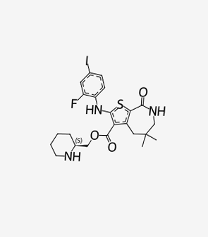 CC1(C)CNC(=O)c2sc(Nc3ccc(I)cc3F)c(C(=O)OC[C@@H]3CCCCN3)c2C1